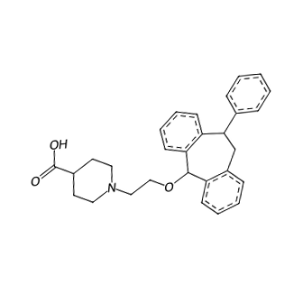 O=C(O)C1CCN(CCOC2c3ccccc3CC(c3ccccc3)c3ccccc32)CC1